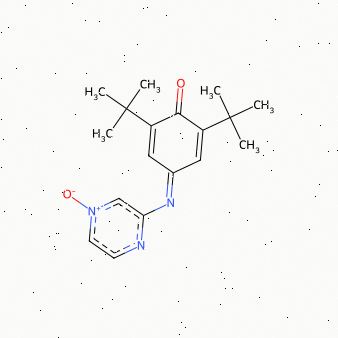 CC(C)(C)C1=CC(=Nc2c[n+]([O-])ccn2)C=C(C(C)(C)C)C1=O